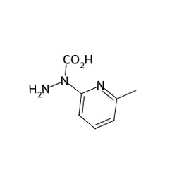 Cc1cccc(N(N)C(=O)O)n1